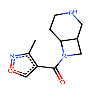 Cc1nocc1C(=O)N1CC2CNCCC21